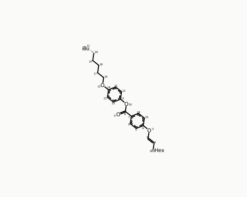 CCCCCC/C=C/Oc1ccc(C(=O)Oc2ccc(OCCCCC[C@@H](C)CC)cc2)cc1